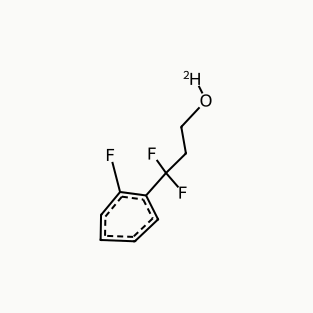 [2H]OCCC(F)(F)c1ccccc1F